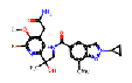 CCOc1c(CC(N)=O)cc(C(O)(CNC(=O)c2cc(OC)c3nn(C4CC4)cc3c2)C(F)(F)F)nc1Br